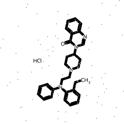 CCc1ccccc1N(CCN1CCC(n2cnc3ccccc3c2=O)CC1)c1ccccc1.Cl